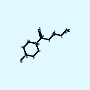 CC(=O)COCC(=O)N1CCN(C)CC1